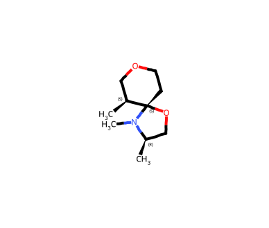 C[C@@H]1CO[C@]2(CCOC[C@@H]2C)N1C